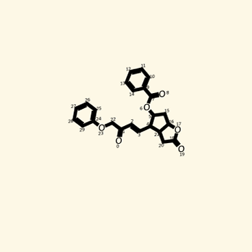 O=C(C=CC1C(OC(=O)c2ccccc2)CC2OC(=O)CC21)COc1ccccc1